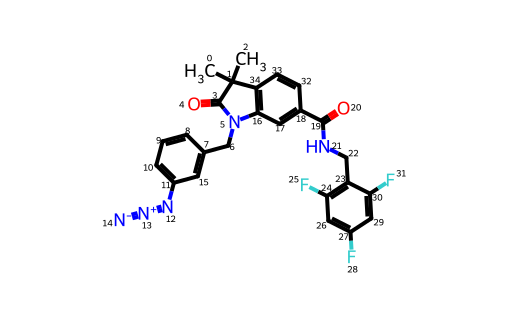 CC1(C)C(=O)N(Cc2cccc(N=[N+]=[N-])c2)c2cc(C(=O)NCc3c(F)cc(F)cc3F)ccc21